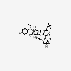 CC[C@@H](c1ccc(F)cc1)N1C(=O)[C@@H]2C[C@H]1CN2C[C@H](NC(=O)OC(C)(C)C)C(=O)N1[C@H](C#N)C[C@@H]2C[C@@H]21